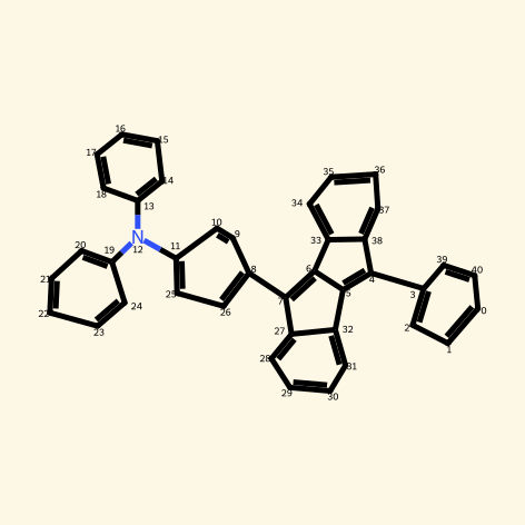 c1ccc(C2=C3C(=C(c4ccc(N(c5ccccc5)c5ccccc5)cc4)c4ccccc43)c3ccccc32)cc1